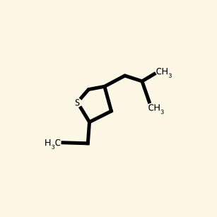 CCC1CC(CC(C)C)CS1